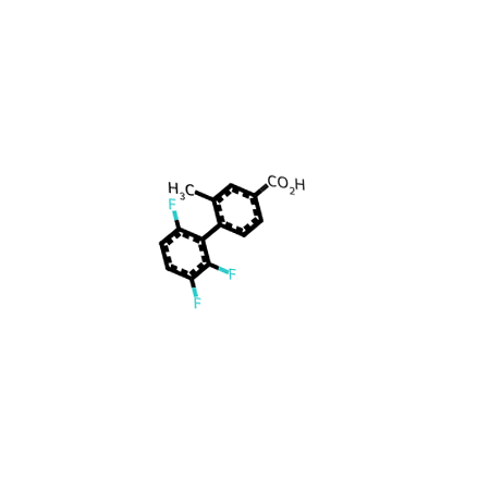 Cc1cc(C(=O)O)ccc1-c1c(F)ccc(F)c1F